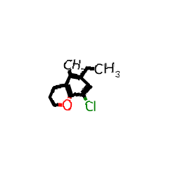 CCc1cc(Cl)c2c(c1C)CCCO2